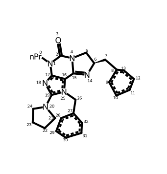 CCCN1C(=O)N2C[C@@H](Cc3ccccc3)N=C2c2c1nc(N1CCCC1)n2Cc1ccccc1